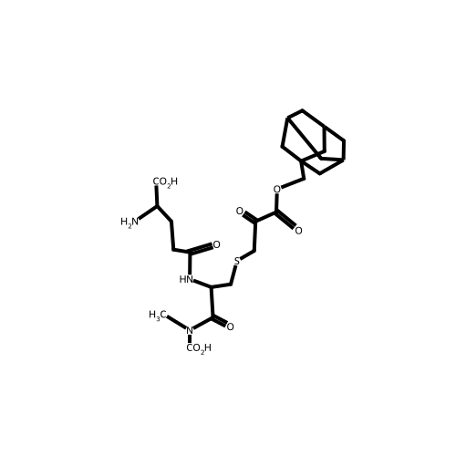 CN(C(=O)O)C(=O)C(CSCC(=O)C(=O)OCC12CC3CC(CC(C3)C1)C2)NC(=O)CCC(N)C(=O)O